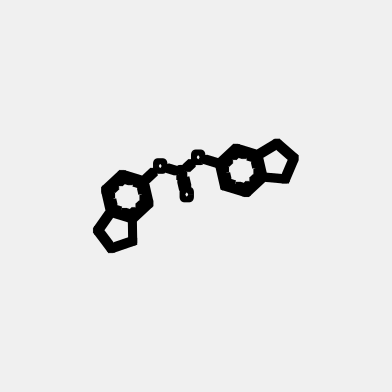 O=S(Oc1ccc2c(c1)CCC2)Oc1ccc2c(c1)CCC2